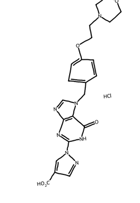 Cl.O=C(O)c1cnn(-c2nc3ncn(Cc4ccc(OCCN5CCOCC5)cc4)c3c(=O)[nH]2)c1